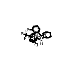 O=C(c1cccc(F)c1-n1nccn1)N1C2CCC1C(Nc1ncc(C(F)(F)F)cc1Cl)C2